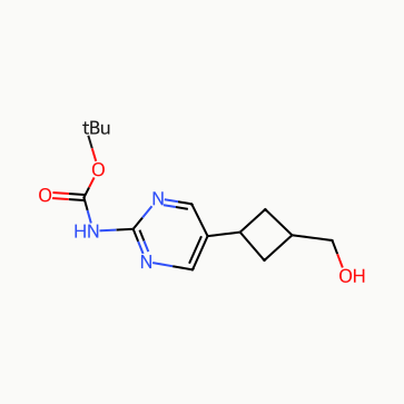 CC(C)(C)OC(=O)Nc1ncc(C2CC(CO)C2)cn1